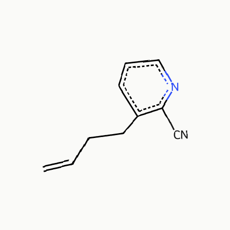 C=CCCc1cccnc1C#N